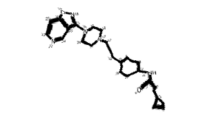 O=C(CC1CC1)NC1CCC(CCN2CCN(c3noc4ccncc34)CC2)CC1